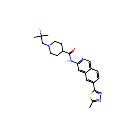 Cc1nnc(-c2ccc3cnc(NC(=O)C4CCN(CC(C)(C)F)CC4)cc3c2)s1